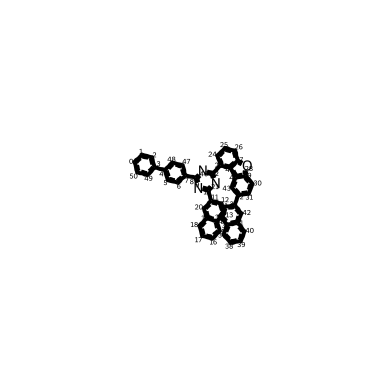 c1ccc(-c2ccc(-c3nc(-c4ccc5ccccc5c4)nc(-c4cccc5oc6ccc(-c7ccc8ccccc8c7)cc6c45)n3)cc2)cc1